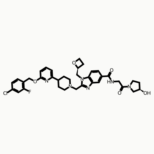 O=C(NCC(=O)N1CC[C@@H](O)C1)c1ccc2c(c1)nc(CN1CCC(c3cccc(OCc4ccc(Cl)cc4F)n3)CC1)n2C[C@@H]1CCO1